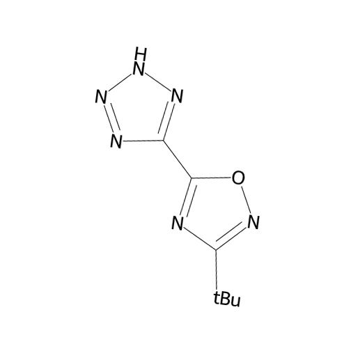 CC(C)(C)c1noc(-c2nn[nH]n2)n1